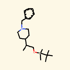 CC(CO[Si](C)(C)C(C)(C)C)C1C[C]N(Cc2ccccc2)CC1